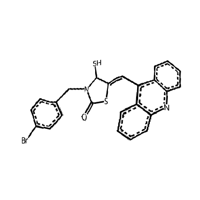 O=C1SC(=Cc2c3ccccc3nc3ccccc23)C(S)N1Cc1ccc(Br)cc1